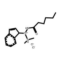 CCCCCC(=O)[NH][Ti+2]([CH]1C=Cc2ccccc21)[SiH](C)C.[Cl-].[Cl-]